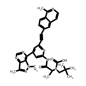 Cc1nccc2cc(C#Cc3cc(-c4ncnc5c(C)nn(C)c45)cc(NC(=O)C(C)N(CC(C)(C)C)C(=O)O)n3)ccc12